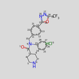 Cl.O=C(C1CCNCC1)N(Cc1ccc(-c2nnc(C(F)(F)F)o2)cc1)c1ccccc1